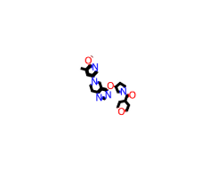 COc1ncc(N2CCc3ncnc(O[C@H]4CCN(C(=O)C5CCOCC5)C4)c3C2)cc1C